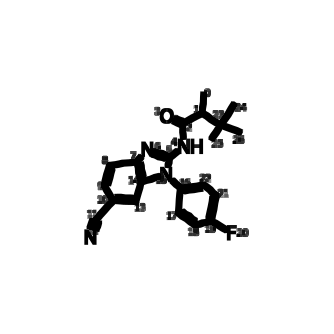 CC(C(=O)Nc1nc2ccc(C#N)cc2n1-c1ccc(F)cc1)C(C)(C)C